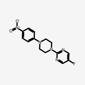 O=[N+]([O-])c1ccc(N2CCN(c3ncc(F)cn3)CC2)cc1